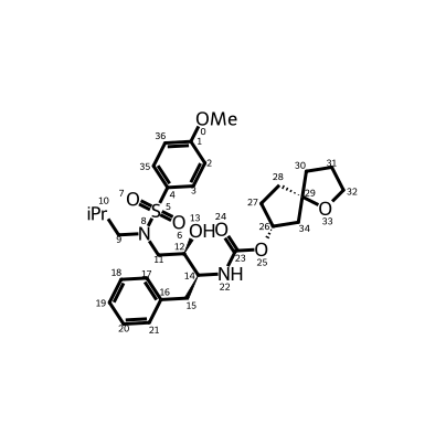 COc1ccc(S(=O)(=O)N(CC(C)C)C[C@@H](O)[C@H](Cc2ccccc2)NC(=O)O[C@@H]2CC[C@@]3(CCCO3)C2)cc1